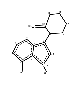 Cc1cccc2c(C3CCCCC3=O)cn(C)c12